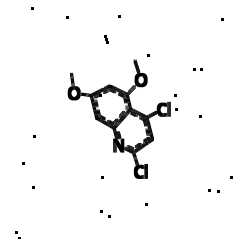 COc1cc(OC)c2c(Cl)cc(Cl)nc2c1